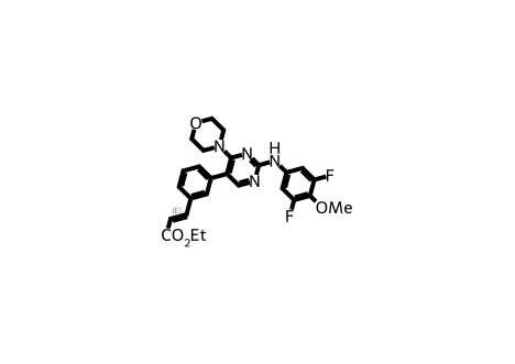 CCOC(=O)/C=C/c1cccc(-c2cnc(Nc3cc(F)c(OC)c(F)c3)nc2N2CCOCC2)c1